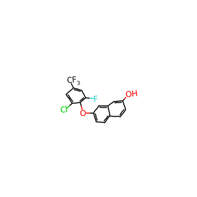 Oc1ccc2ccc(Oc3c(F)cc(C(F)(F)F)cc3Cl)cc2c1